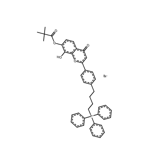 CC(C)(C)C(=O)Oc1ccc2c(=O)cc(-c3ccc(CCCC[P+](c4ccccc4)(c4ccccc4)c4ccccc4)cc3)oc2c1O.[Br-]